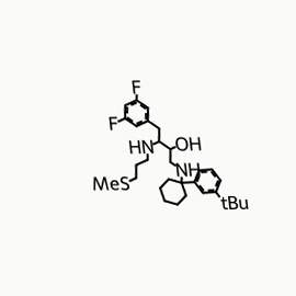 CSCCCNC(Cc1cc(F)cc(F)c1)C(O)CNC1(c2cccc(C(C)(C)C)c2)CCCCC1